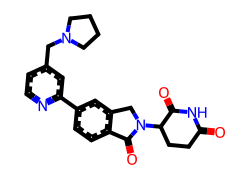 O=C1CCC(N2Cc3cc(-c4cc(CN5CCCC5)ccn4)ccc3C2=O)C(=O)N1